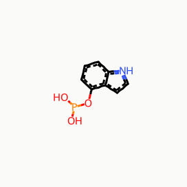 OP(O)Oc1cccc2[nH]ccc12